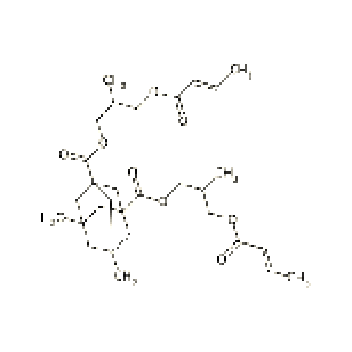 CC=CC(=O)OCC(C)COC(=O)C12CC3(C)CC(C)(C1)CC(C(=O)OCC(C)COC(=O)C=CC)(C3)C2